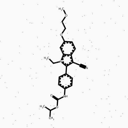 CCn1c(-c2ccc(NC(=O)OC(C)C)cc2)c(C#N)c2ccc(OCCOC)cc21